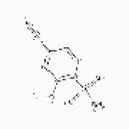 COc1cc(C#N)ccc1S(N)(=O)=O